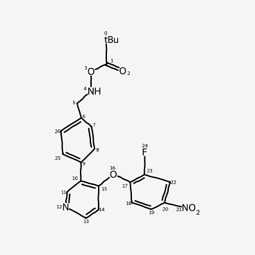 CC(C)(C)C(=O)ONCc1ccc(-c2cnccc2Oc2ccc([N+](=O)[O-])cc2F)cc1